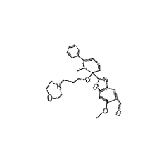 COc1cc2oc(C3(OCCCN4CCOCC4)C=CC=C(c4ccccc4)C3C)nc2cc1C=O